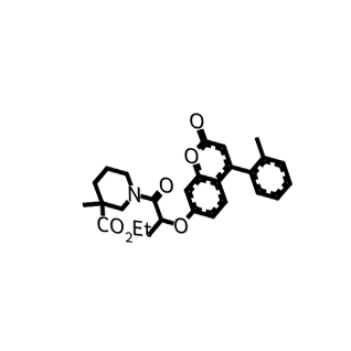 CCOC(=O)C1(C)CCCN(C(=O)C(C)Oc2ccc3c(-c4ccccc4C)cc(=O)oc3c2)C1